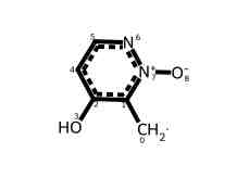 [CH2]c1c(O)ccn[n+]1[O-]